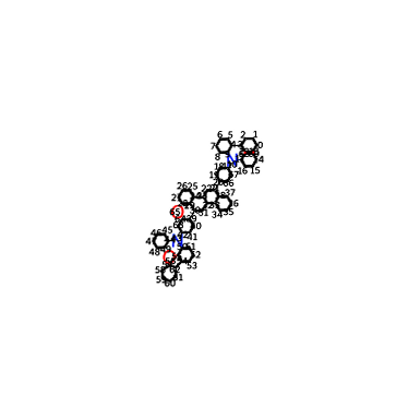 c1ccc(-c2ccccc2N(c2ccccc2)c2ccc(-c3cc4c5cccc6c5c(cc4c4ccccc34)-c3ccc(N(c4ccccc4)c4cccc5c4oc4ccccc45)cc3O6)cc2)cc1